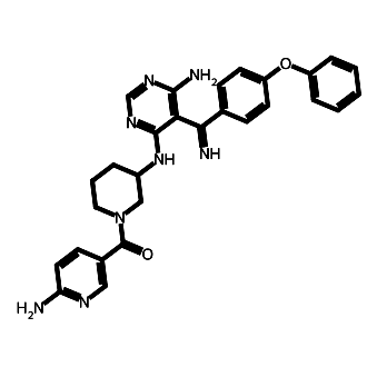 N=C(c1ccc(Oc2ccccc2)cc1)c1c(N)ncnc1NC1CCCN(C(=O)c2ccc(N)nc2)C1